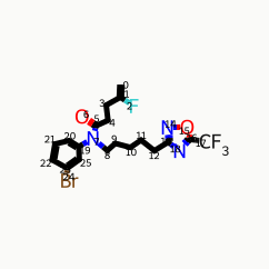 C=C(F)CCC(=O)N(CCCCCc1noc(C(F)(F)F)n1)c1cccc(Br)c1